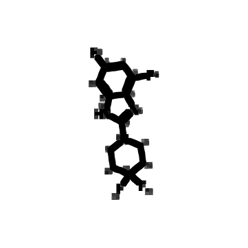 Fc1cc(F)c2nc(N3CCC(F)(F)CC3)[nH]c2c1